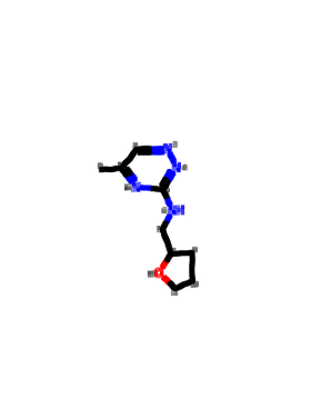 Cc1cnnc(NCC2CCCO2)n1